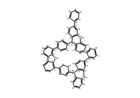 C1=C(c2cccc3c2oc2c(-c4ccc(N5c6ccccc6Oc6cc(-c7ccccc7)ccc65)cc4)cccc23)CCC(N2c3ccccc3Oc3cc(-c4ccccc4)ccc32)=C1